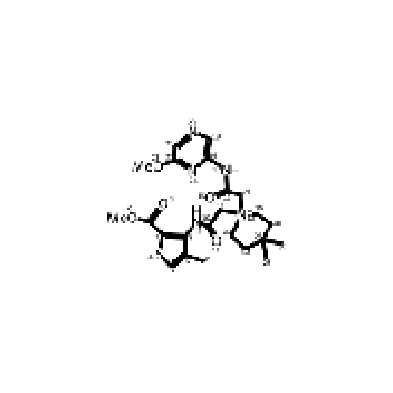 COC(=O)c1scc(C)c1NC(=O)C[N+]1(CC(=O)Nc2cncc(OC)n2)CCC(C)(C)CC1